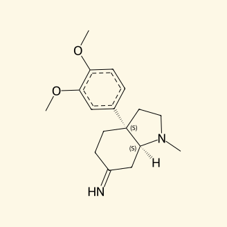 COc1ccc([C@@]23CCC(=N)C[C@@H]2N(C)CC3)cc1OC